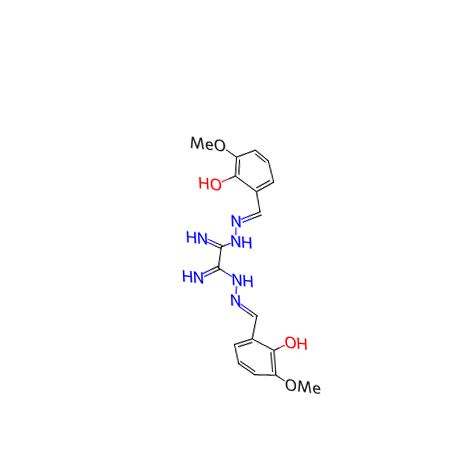 COc1cccc(/C=N/NC(=N)C(=N)N/N=C/c2cccc(OC)c2O)c1O